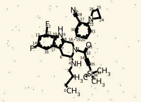 CCCCN[C@H]1Cc2c([nH]c3c(F)cc(F)cc23)[C@H](c2ccc(N3CCC3)c(C#N)c2)N1C(=O)C#C[Si](C)(C)C